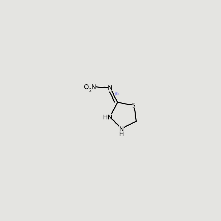 O=[N+]([O-])/N=C1\NNCS1